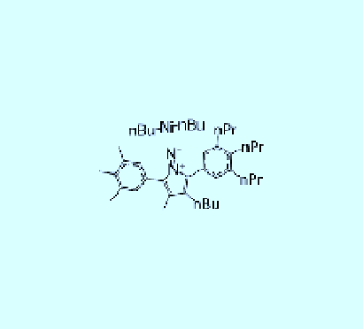 CCCCC1=C(c2cc(CCC)c(CCC)c(CCC)c2)[N+](=[N-])C(c2cc(C)c(C)c(C)c2)=C1C.CCC[CH2][Ni][CH2]CCC